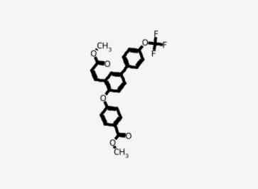 COC(=O)/C=C\c1cc(-c2ccc(OC(F)(F)F)cc2)ccc1Oc1ccc(C(=O)OC)cc1